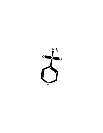 NS(=O)(=O)C1=CCOC=C1